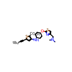 CN(C)Cc1csc(O[C@H]2CC[C@H](Nc3cc(C#CC(C)(C)C)sc3C(=O)O)CC2)n1